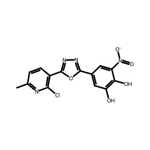 Cc1ccc(-c2nnc(-c3cc(O)c(O)c([N+](=O)[O-])c3)o2)c(Cl)n1